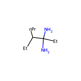 CCCC(CC)C(N)(N)CC